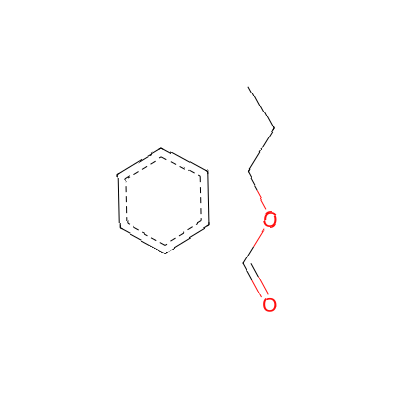 CCCOC=O.c1ccccc1